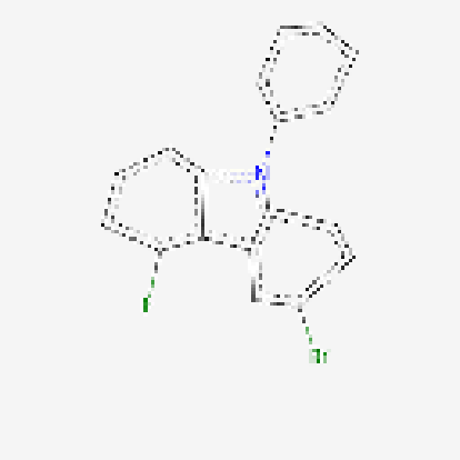 Fc1cccc2c1c1cc(Br)ccc1n2-c1ccccc1